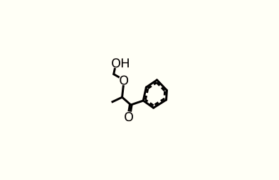 CC(OCO)C(=O)c1ccccc1